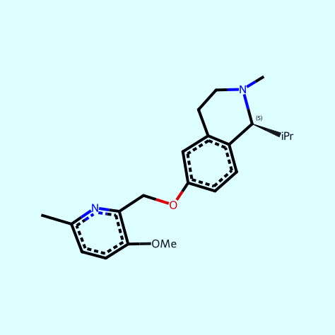 COc1ccc(C)nc1COc1ccc2c(c1)CCN(C)[C@H]2C(C)C